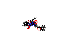 C=CC[C@@H]1C[C@@H](CN2C(=O)c3ccccc3C2=O)N(CCCCOc2ccccc2)C1=O